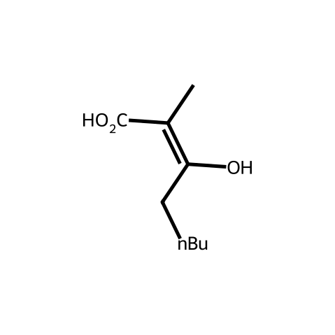 CCCCC/C(O)=C(/C)C(=O)O